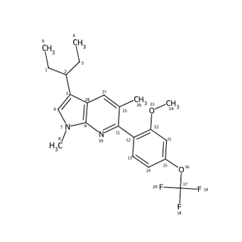 CCC(CC)c1cn(C)c2nc(-c3ccc(OC(F)(F)F)cc3OC)c(C)cc12